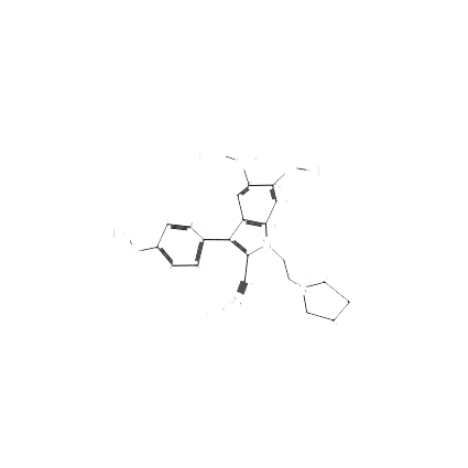 COc1ccc(-c2c(C#N)n(CCN3CCCC3)c3cc(OC)c(OC)cc23)cc1.Cl